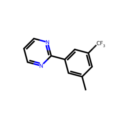 Cc1cc(-c2ncccn2)cc(C(F)(F)F)c1